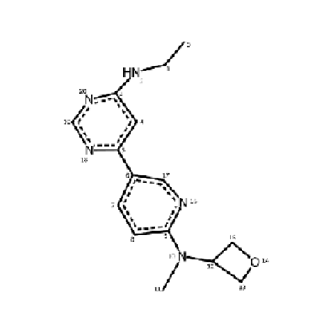 CCNc1cc(-c2ccc(N(C)C3COC3)nc2)ncn1